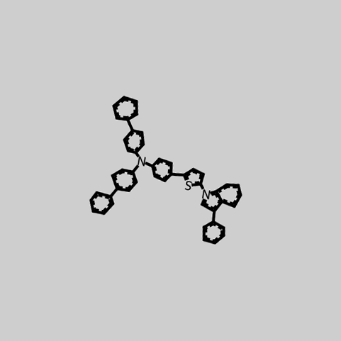 c1ccc(-c2ccc(N(c3ccc(-c4ccccc4)cc3)c3ccc(-c4ccc(-n5cc(-c6ccccc6)c6ccccc65)s4)cc3)cc2)cc1